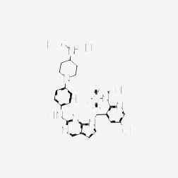 CN(C)C1CCN(c2ccc(Nc3ncc4ccn(Cc5cc(Cl)cnc5N(C)S(C)(=O)=O)c4n3)cc2)CC1